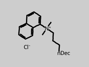 CCCCCCCCCCCCC[N+](C)(C)c1cccc2ccccc12.[Cl-]